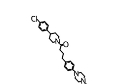 CN1CCN(c2ccc(CCCC(=O)N3CCC(c4ccc(Cl)cc4)CC3)cc2)CC1